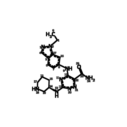 CCn1ncc2ccc(Nc3nc(N[C@@H]4CCCNC4)nnc3C(N)=O)cc21